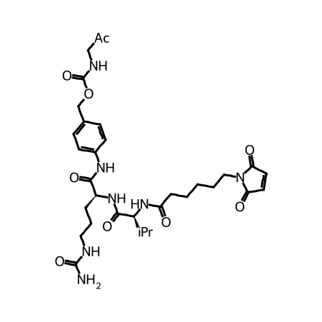 CC(=O)CNC(=O)OCc1ccc(NC(=O)[C@H](CCCNC(N)=O)NC(=O)[C@@H](NC(=O)CCCCCN2C(=O)C=CC2=O)C(C)C)cc1